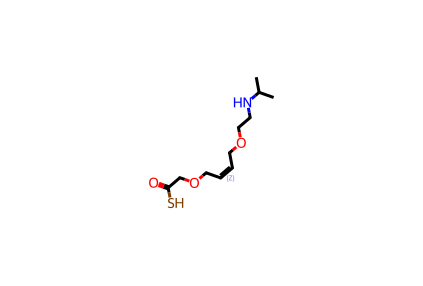 CC(C)NCCOC/C=C\COCC(=O)S